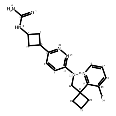 NC(=O)NC1CC(c2ccc(NCC3(c4ncccc4F)CCC3)nn2)C1